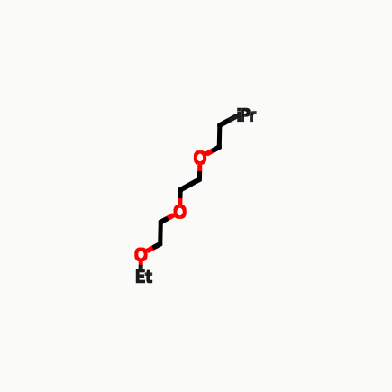 CCOCCOCCOCCC(C)C